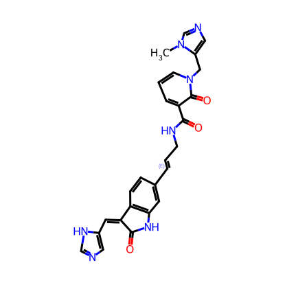 Cn1cncc1Cn1cccc(C(=O)NC/C=C/c2ccc3c(c2)NC(=O)C3=Cc2cnc[nH]2)c1=O